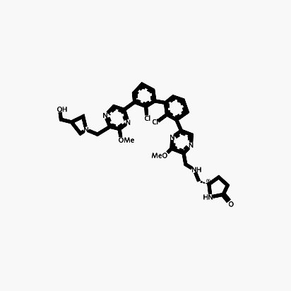 COc1nc(-c2cccc(-c3cccc(-c4cnc(CN5CC(CO)C5)c(OC)n4)c3Cl)c2Cl)cnc1CNC[C@@H]1CCC(=O)N1